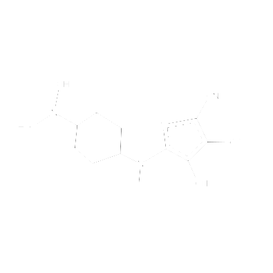 CCN(c1sc(C#N)c(C(=O)O)c1C)C1CCC(N(C)C)CC1